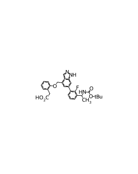 CC(NC(=O)OC(C)(C)C)c1cccc(-c2cc(COc3ccccc3CC(=O)O)c3cn[nH]c3c2)c1F